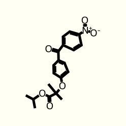 CC(C)OC(=O)C(C)(C)Oc1ccc(C(=O)c2ccc([N+](=O)[O-])cc2)cc1